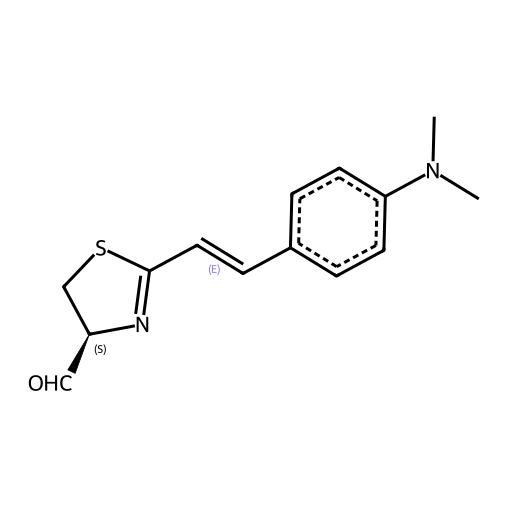 CN(C)c1ccc(/C=C/C2=N[C@@H](C=O)CS2)cc1